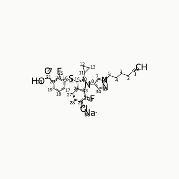 C#CCCCCn1cc(-n2c(C3CC3)c(Sc3cccc(C(=O)O)c3F)c3ccc(Cl)c(F)c32)cn1.[Na]